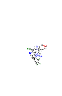 N#Cc1cnc2c(Cl)cc(NC(C3=CCOCC3)c3c[nH]nn3)cc2c1Nc1ccc(Cl)c(Cl)c1F